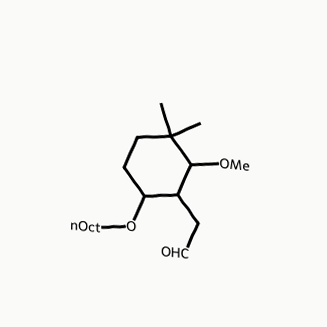 CCCCCCCCOC1CCC(C)(C)C(OC)C1CC=O